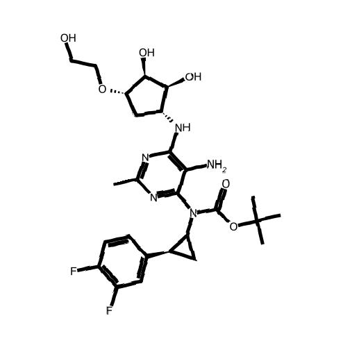 Cc1nc(N[C@@H]2C[C@H](OCCO)[C@@H](O)[C@H]2O)c(N)c(N(C(=O)OC(C)(C)C)C2C[C@H]2c2ccc(F)c(F)c2)n1